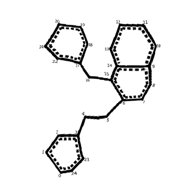 c1ccc(CCc2ccc3ccccc3c2Cc2ccccc2)cc1